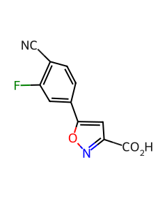 N#Cc1ccc(-c2cc(C(=O)O)no2)cc1F